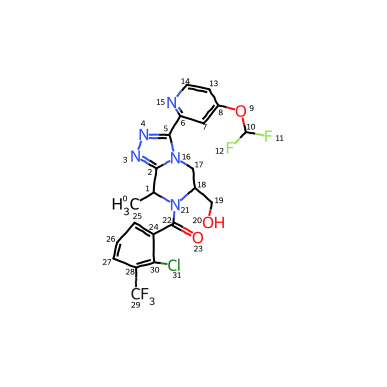 CC1c2nnc(-c3cc(OC(F)F)ccn3)n2CC(CO)N1C(=O)c1cccc(C(F)(F)F)c1Cl